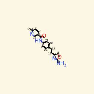 Cc1ccc(C(=O)Nc2ccc(CCC3COC(N)=N3)cc2)cn1